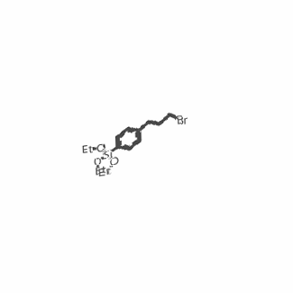 CCO[Si](OCC)(OCC)c1ccc(CCCBr)cc1